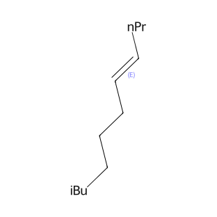 CCC/C=C/CCCC(C)CC